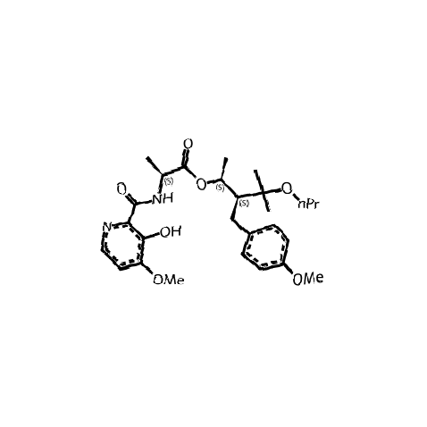 CCCOC(C)(C)[C@@H](Cc1ccc(OC)cc1)[C@H](C)OC(=O)[C@H](C)NC(=O)c1nccc(OC)c1O